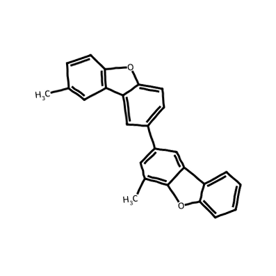 Cc1ccc2oc3ccc(-c4cc(C)c5oc6ccccc6c5c4)cc3c2c1